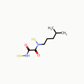 CC(C)CCCN(S)C(=O)C(=O)NS